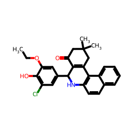 CCOc1cc(C2Nc3ccc4ccccc4c3C3=C2C(=O)CC(C)(C)C3)cc(Cl)c1O